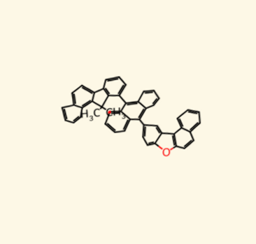 CC1(C)c2c(cccc2-c2c3ccccc3c(-c3ccc4oc5ccc6ccccc6c5c4c3)c3ccccc23)-c2ccc3ccccc3c21